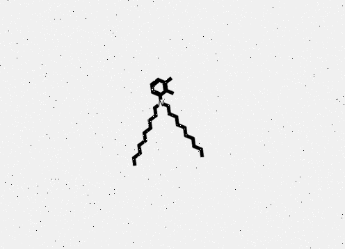 CCCCCCCCCCN(CCCCCCCCCC)c1cccc(C)c1C